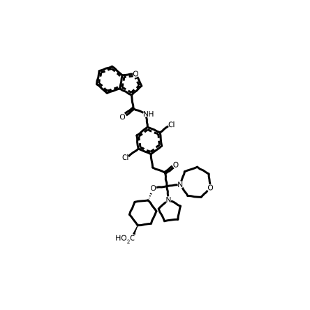 O=C(Nc1cc(Cl)c(CC(=O)C(O[C@H]2CC[C@H](C(=O)O)CC2)(N2CCCC2)N2CCCOCC2)cc1Cl)c1coc2ccccc12